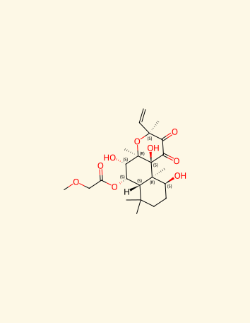 C=C[C@]1(C)O[C@]2(C)[C@@H](O)[C@@H](OC(=O)COC)[C@H]3C(C)(C)CC[C@H](O)[C@]3(C)[C@@]2(O)C(=O)C1=O